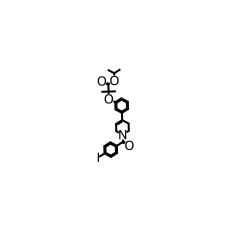 CC(C)OC(=O)C(C)(C)Oc1cccc(C2=CCN(C(=O)c3ccc(I)cc3)CC2)c1